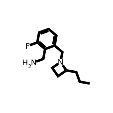 CCCC1CCN1Cc1cccc(F)c1CN